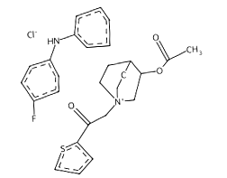 CC(=O)OC1C[N+]2(CC(=O)c3cccs3)CCC1CC2.Fc1ccc(Nc2ccccc2)cc1.[Cl-]